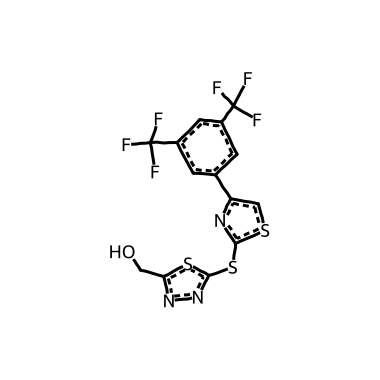 OCc1nnc(Sc2nc(-c3cc(C(F)(F)F)cc(C(F)(F)F)c3)cs2)s1